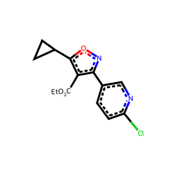 CCOC(=O)c1c(-c2ccc(Cl)nc2)noc1C1CC1